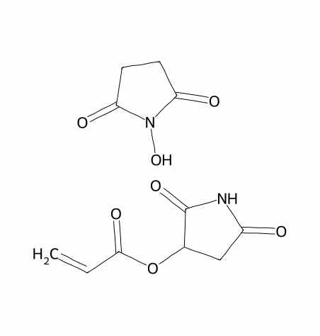 C=CC(=O)OC1CC(=O)NC1=O.O=C1CCC(=O)N1O